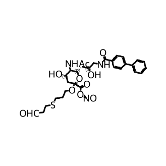 CC(=O)NC1[C@H](C[C@H](O)CNC(=O)c2ccc(-c3ccccc3)cc2)O[C@@](OCCCSCCC=O)(C(=O)ON=O)C[C@@H]1O